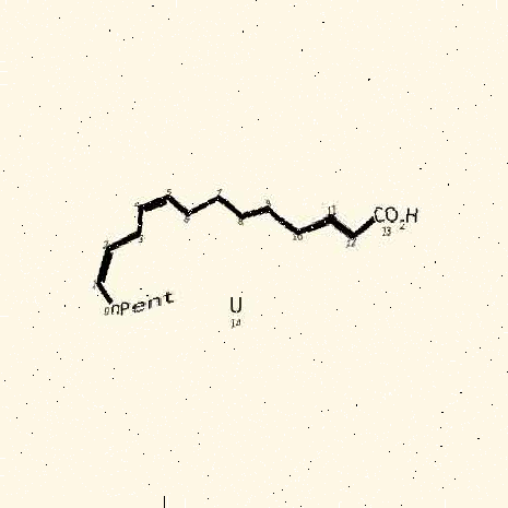 CCCCC/C=C\C/C=C\CCCCCCCC(=O)O.[U]